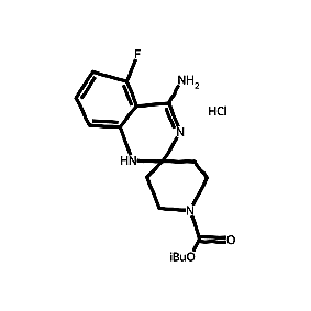 CC(C)COC(=O)N1CCC2(CC1)N=C(N)c1c(F)cccc1N2.Cl